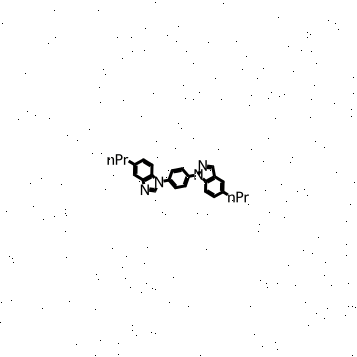 CCCc1ccc2c(cnn2-c2ccc(-n3cnc4cc(CCC)ccc43)cc2)c1